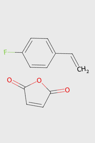 C=Cc1ccc(F)cc1.O=C1C=CC(=O)O1